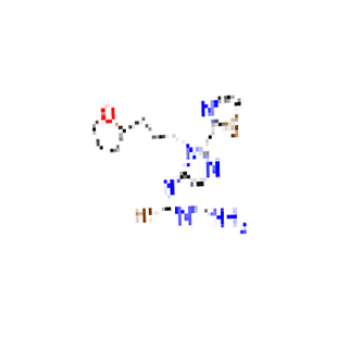 Nc1nc(S)nc2c1nc(-c1nccs1)n2CCCC1CCCO1